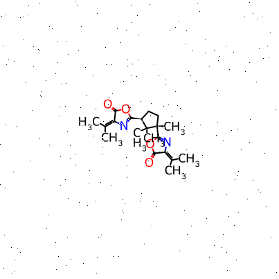 CC(C)=C1N=C([C@H]2CC[C@](C)(C3=NC(=C(C)C)C(=O)O3)C2(C)C)OC1=O